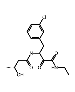 CCNC(=O)C(=O)C(Cc1cccc(Cl)c1)NC(=O)C[C@@H](C)O